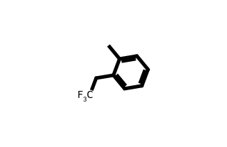 Cc1ccccc1CC(F)(F)F